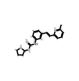 Cc1cccc(C=Cc2cccc(NC(=O)OC3CCCO3)c2)n1